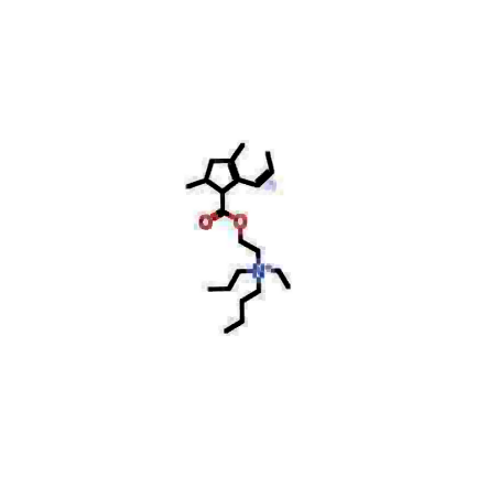 C/C=C\C1=C(C)CC(C)C1C(=O)OCC[N+](CC)(CCC)CCCC